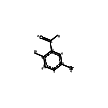 CC(=O)c1cc(Br)cnc1C